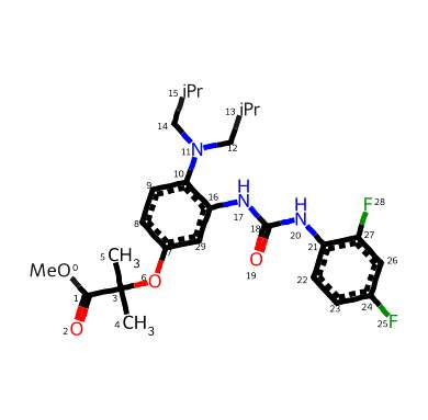 COC(=O)C(C)(C)Oc1ccc(N(CC(C)C)CC(C)C)c(NC(=O)Nc2ccc(F)cc2F)c1